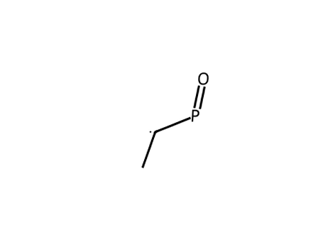 C[CH]P=O